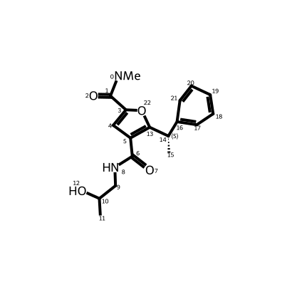 CNC(=O)c1cc(C(=O)NCC(C)O)c([C@@H](C)c2ccccc2)o1